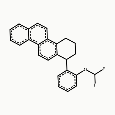 FC(F)Oc1ccccc1C1CCCc2c1ccc1c2ccc2ccccc21